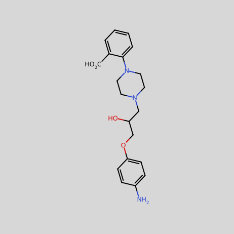 Nc1ccc(OCC(O)CN2CCN(c3ccccc3C(=O)O)CC2)cc1